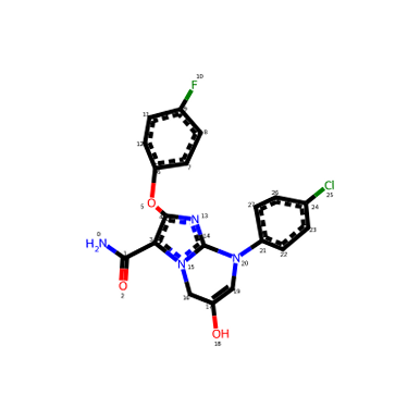 NC(=O)c1c(Oc2ccc(F)cc2)nc2n1CC(O)=CN2c1ccc(Cl)cc1